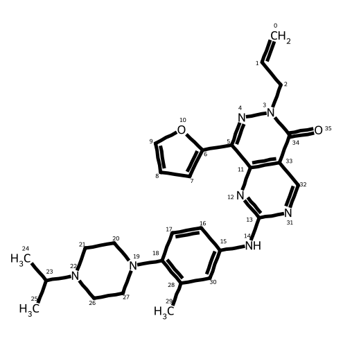 C=CCn1nc(-c2ccco2)c2nc(Nc3ccc(N4CCN(C(C)C)CC4)c(C)c3)ncc2c1=O